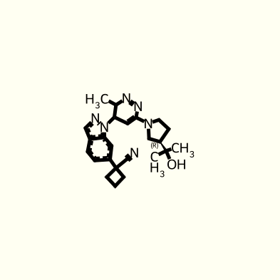 CC1N=NC(N2CC[C@@H](C(C)(C)O)C2)=CC1n1ncc2ccc(C3(C#N)CCC3)cc21